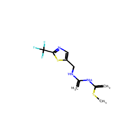 C=C(NCc1cnc(C(F)(F)F)s1)NC(=C)SC